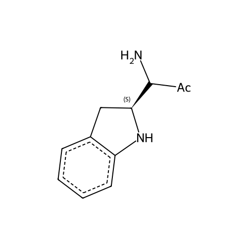 CC(=O)C(N)[C@@H]1Cc2ccccc2N1